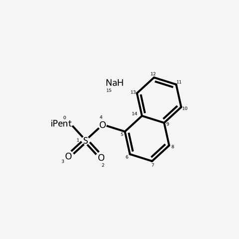 CCCC(C)S(=O)(=O)Oc1cccc2ccccc12.[NaH]